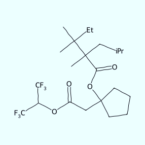 CCC(C)(C)C(C)(CC(C)C)C(=O)OC1(CC(=O)OC(C(F)(F)F)C(F)(F)F)CCCC1